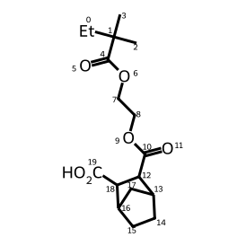 CCC(C)(C)C(=O)OCCOC(=O)C1C2CCC(C2)C1C(=O)O